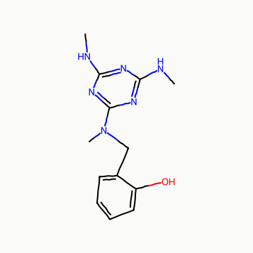 CNc1nc(NC)nc(N(C)Cc2ccccc2O)n1